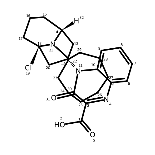 O=C(O)c1nc2ccccc2n([C@H]2C[C@H]3CCC[C@@](Cl)(C2)N3C2CCCCCCC2)c1=O